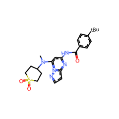 CN(c1cc(NC(=O)c2ccc(C(C)(C)C)cc2)nc2ccnn12)C1CCS(=O)(=O)CC1